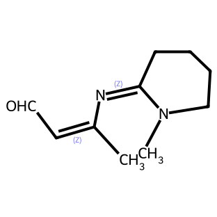 CC(=C/C=O)/N=C1/CCCCN1C